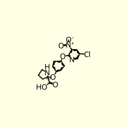 O=C(O)[C@]1(Oc2ccc(Oc3ncc(Cl)cc3[N+](=O)[O-])cc2)CCCN1